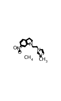 C.C[n+]1ccn(CCN2CCc3ccc([N+](=O)[O-])cc32)c1